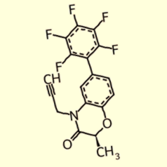 C#CCN1C(=O)[C@H](C)Oc2ccc(-c3c(F)c(F)c(F)c(F)c3F)cc21